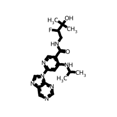 CC(C)Nc1cc(-n2cnc3cncnc32)ncc1C(=O)NCC(F)C(C)(C)O